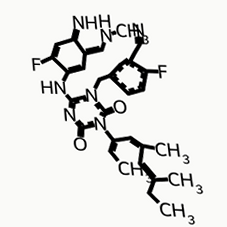 C\C=C(/C=C(C)\C=C(/C)CC)n1c(=O)nc(NC2=C/C(=C/NC)C(=N)C=C2F)n(Cc2ccc(F)c(C#N)c2)c1=O